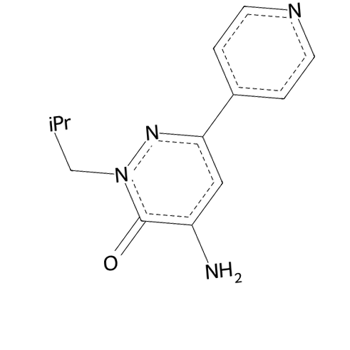 CC(C)Cn1nc(-c2ccncc2)cc(N)c1=O